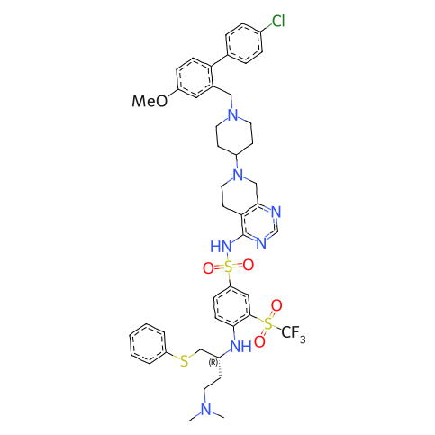 COc1ccc(-c2ccc(Cl)cc2)c(CN2CCC(N3CCc4c(ncnc4NS(=O)(=O)c4ccc(N[C@H](CCN(C)C)CSc5ccccc5)c(S(=O)(=O)C(F)(F)F)c4)C3)CC2)c1